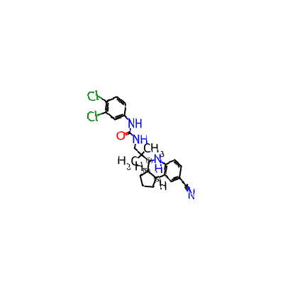 CC(C)(CNC(=O)Nc1ccc(Cl)c(Cl)c1)[C@H]1Nc2ccc(C#N)cc2[C@H]2CCC[C@H]21